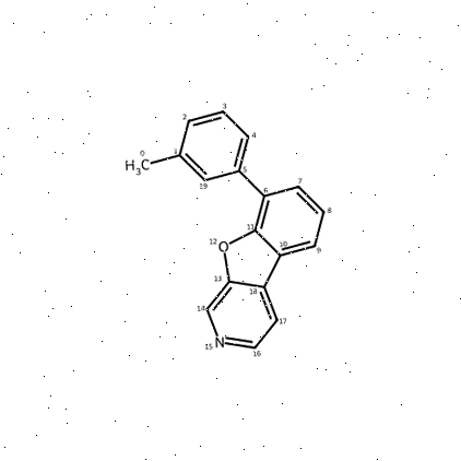 Cc1cccc(-c2cccc3c2oc2cnccc23)c1